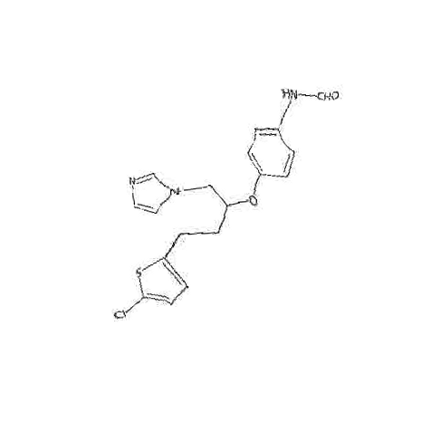 O=CNc1ccc(OC(CCc2ccc(Cl)s2)Cn2ccnc2)cc1